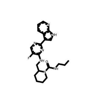 CCCNC(=O)N1CCCCC1CNc1nc(-c2c[nH]c3ncccc23)ncc1F